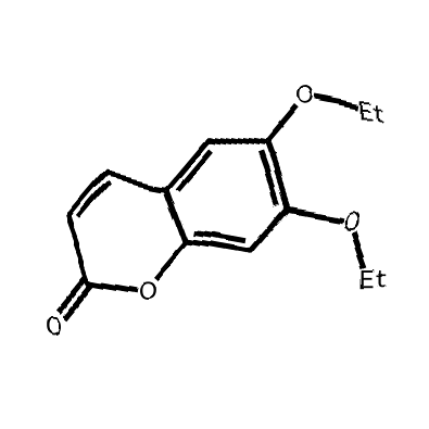 CCOc1cc2ccc(=O)oc2cc1OCC